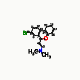 CN(C)/C=C/C(=O)c1cc(Br)ccc1-c1ccccc1